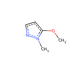 [CH2]Oc1ccnn1C